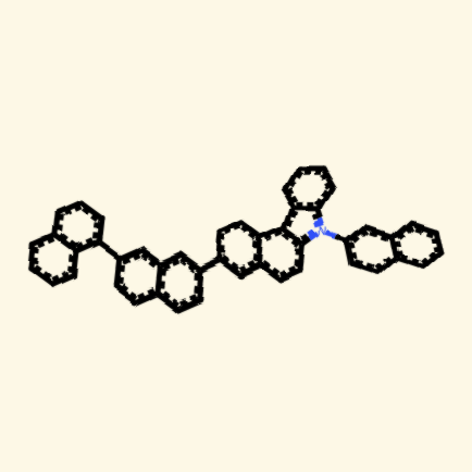 c1ccc2cc(-n3c4ccccc4c4c5ccc(-c6ccc7ccc(-c8cccc9ccccc89)cc7c6)cc5ccc43)ccc2c1